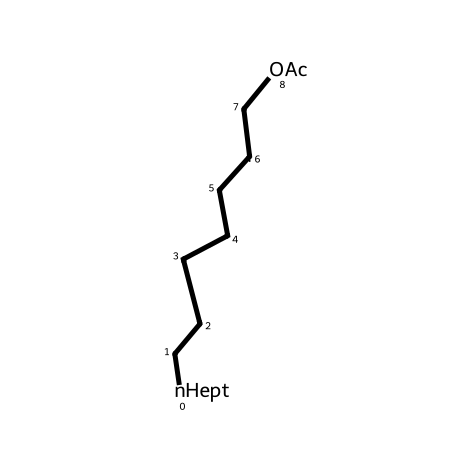 CCCCCCCCCCCC[CH]COC(C)=O